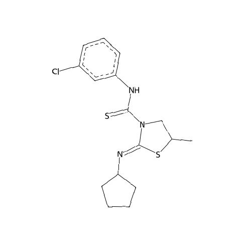 CC1CN(C(=S)Nc2cccc(Cl)c2)C(=NC2CCCC2)S1